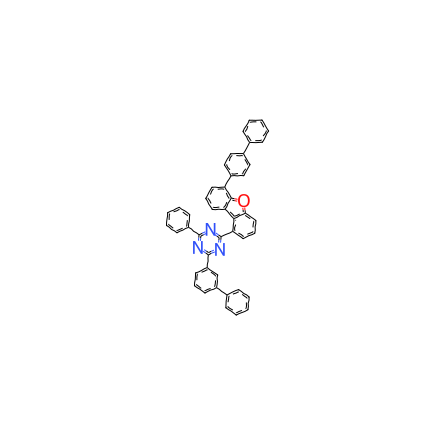 c1ccc(-c2ccc(-c3cccc4c3oc3cccc(-c5nc(-c6ccccc6)nc(-c6cccc(-c7ccccc7)c6)n5)c34)cc2)cc1